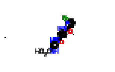 O=C(O)N[C@H]1CC[C@H](NC(=O)c2ccc(NC(=O)c3cccc(Br)n3)cc2)CC1